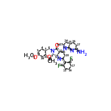 COc1ccc(CN2Cc3nc(-c4c(F)cccc4F)cc(-n4ccc5ccc(N)nc54)c3C2=O)c(OC)c1